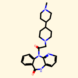 CN1CCC(C2CCN(CC(=O)N3c4ccccc4C(=O)Nc4cccnc43)CC2)CC1